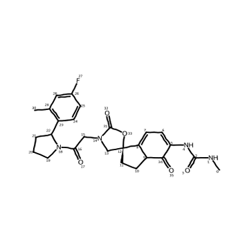 CNC(=O)NC1=CC=C2C(CC[C@]23CN(CC(=O)N2CCCC2c2ccc(F)cc2C)C(=O)O3)C1=O